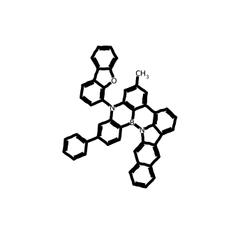 Cc1cc2c3c(c1)N(c1cccc4c1oc1ccccc14)c1cc(-c4ccccc4)ccc1B3n1c3cc4ccccc4cc3c3cccc-2c31